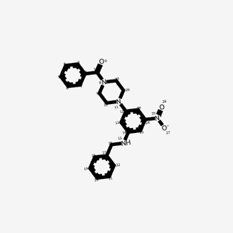 O=C(c1ccccc1)N1CCN(c2cc(NCc3ccccc3)cc([N+](=O)[O-])c2)CC1